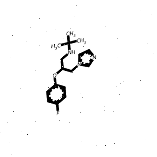 CC(C)(C)NCC(Cn1ccnc1)Oc1ccc(F)cc1